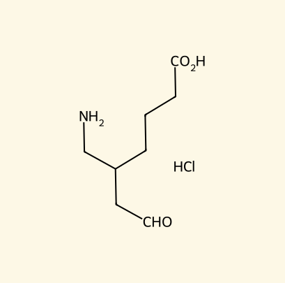 Cl.NCC(CC=O)CCCC(=O)O